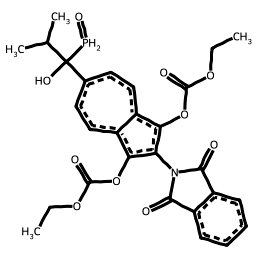 CCOC(=O)Oc1c2ccc(C(O)([PH2]=O)C(C)C)ccc-2c(OC(=O)OCC)c1N1C(=O)c2ccccc2C1=O